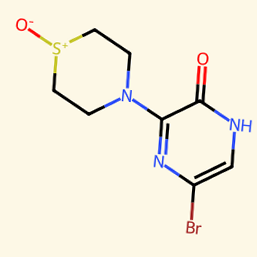 O=c1[nH]cc(Br)nc1N1CC[S+]([O-])CC1